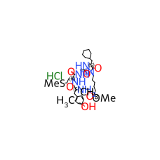 COC(=O)CCCCCNC(=O)[C@H](CC1CCCCC1)NC(=O)CNC(=O)[C@@H](CCSC)NC(=O)[C@@H](N)Cc1c(C)cc(O)cc1C.Cl